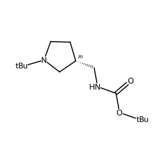 CC(C)(C)OC(=O)NC[C@H]1CCN(C(C)(C)C)C1